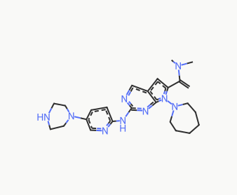 C=C(c1cc2cnc(Nc3ccc(N4CCNCC4)cn3)nc2n1N1CCCCCC1)N(C)C